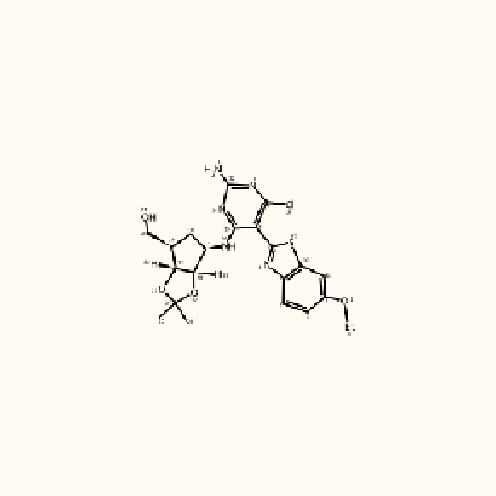 CCOc1ccc2nc(-c3c(Cl)nc(N)nc3N[C@@H]3C[C@H](CO)[C@H]4OC(C)(C)O[C@H]43)sc2c1